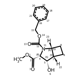 COC(=O)[C@H]1[C@@H](O)[C@H]2CC[C@H]2N1C(=O)OCc1ccccc1